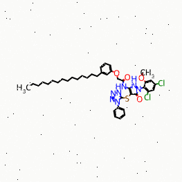 CCCCCCCCCCCCCCCc1cccc(OCC(=O)Nc2[nH]n(-c3c(Cl)cc(Cl)cc3OC)c(=O)c2Sc2nnnn2-c2ccccc2)c1